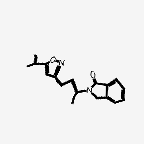 CC(C)c1cc(CCC(C)N2Cc3ccccc3C2=O)no1